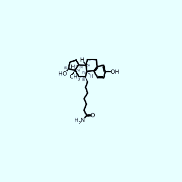 C[C@]12C[C@H](CCCCCCC(N)=O)[C@@H]3c4ccc(O)cc4CC[C@H]3[C@@H]1CC[C@@H]2O